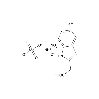 O=C([O-])Cc1cc2ccccc2[nH]1.O=[N+]([O-])[O-].[Fe+3].[NH4+].[O]=[Mo](=[O])([O-])[O-]